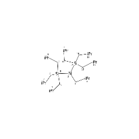 CC(C)CN([Si](CC(C)C)(CC(C)C)CC(C)C)[Si](CC(C)C)(CC(C)C)CC(C)C